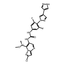 CO[C@@H](C)c1c(NC(=O)Nc2cc(F)c(-n3cc(-c4cn[nH]c4)cn3)c(F)c2)cnc2cc(Cl)nn12